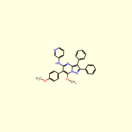 COc1ccc(-c2c(Nc3cccnc3)nc3c(-c4ccccc4)c(-c4ccccc4)nn3c2OC)cc1